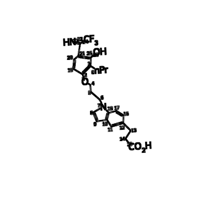 CCCc1c(OCCCn2ccc3cc(CCC(=O)O)ccc32)ccc(C(=N)C(F)(F)F)c1O